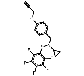 C#CCOc1ccc(CN(Sc2c(F)c(F)c(F)c(F)c2F)C2CC2)cc1